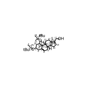 CC(C)(C)[Si](C)(C)OC1CC2=CC[C@@H]3[C@@H](CC[C@]4(C)C(CO)CC[C@@H]34)[C@@]2(C)C(O[Si](C)(C)C(C)(C)C)C1